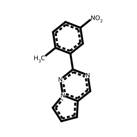 Cc1ccc([N+](=O)[O-])cc1-c1ncc2cccn2n1